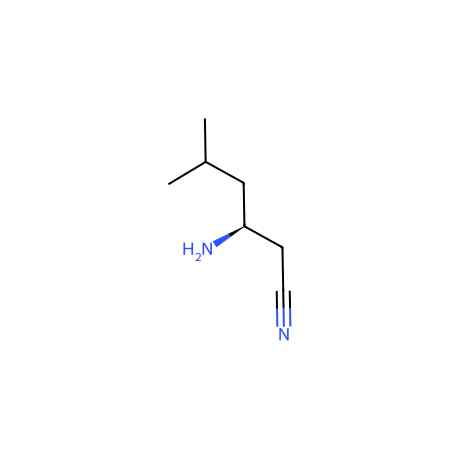 CC(C)C[C@H](N)CC#N